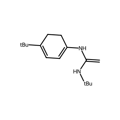 C=C(NC1=CC=C(C(C)(C)C)CC1)NC(C)(C)C